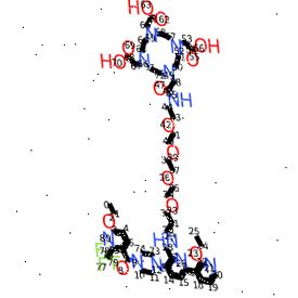 CCOc1ccc(C(=O)N2CCN(c3ccc(-c4cccnc4OCC)nc3CNCCCOCCOCCOCCOCCNC(=O)CN3CCN(CC(=O)O)CCN(CC(=O)O)CCN(CC(=O)O)CC3)CC2)c(C(F)(F)F)n1